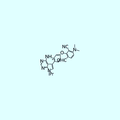 CC(C)n1cc(-c2ccc(Oc3c(C=O)ccc(N(C)C)c3C#N)cc2)c2c(N)ncnc21